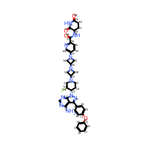 Nc1ncnc2c1c(-c1ccc(Oc3ccccc3)cc1)nn2[C@H]1CCN(C2CN(C3CN(c4ccc(C(=O)NC5CCC(=O)NC5=O)nc4)C3)C2)C[C@@H]1F